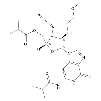 COCCO[C@H]1[C@H](n2cnc3c(=O)[nH]c(NC(=O)C(C)C)nc32)O[C@@H]2C(OC(=O)C(C)C)C21N=[N+]=[N-]